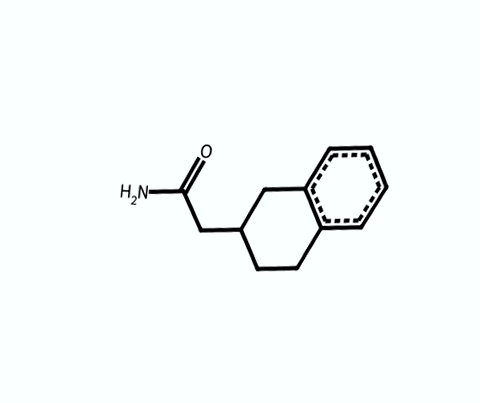 NC(=O)CC1CCc2ccccc2C1